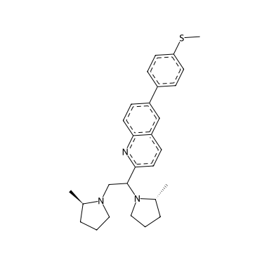 CSc1ccc(-c2ccc3nc(C(CN4CCC[C@H]4C)N4CCC[C@H]4C)ccc3c2)cc1